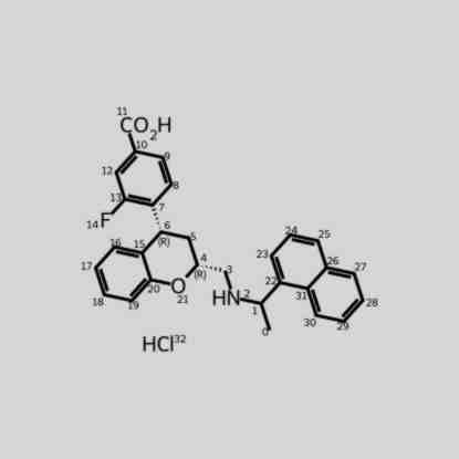 CC(NC[C@H]1C[C@@H](c2ccc(C(=O)O)cc2F)c2ccccc2O1)c1cccc2ccccc12.Cl